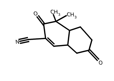 CC1(C)C(=O)C(C#N)=CC2CC(=O)CCC21